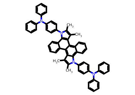 Cc1c(C)n(-c2ccc(N(c3ccccc3)c3ccccc3)cc2)c2c3ccccc3c3c4c(C)c(C)n(-c5ccc(N(c6ccccc6)c6ccccc6)cc5)c4c4ccccc4c3c12